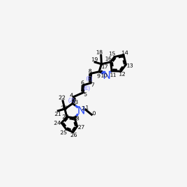 CCN1\C(=C/C=C/C=C/C2=Nc3ccccc3C2(C)C)C(C)(C)c2ccccc21